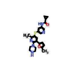 Cc1ccc(-c2cc(Sc3cncc(NC(=O)C4CC4)c3)c(C)nc2N2CCNCC2)o1